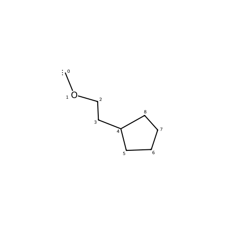 [C]OCCC1CCCC1